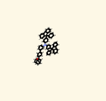 c1ccc(C2(c3ccc(N(c4ccc(C5(c6ccccc6)c6ccccc6-c6ccccc65)cc4)c4cccc(-c5ccc(C67CC8CC(CC(C8)C6)C7)cc5)c4)cc3)c3ccccc3-c3ccccc32)cc1